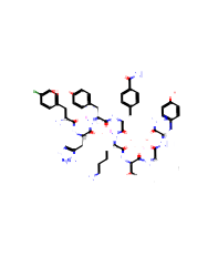 CC(O)C(NC(=O)[C@H](CCCCN)NC(=O)[C@@H](Cc1ccc(C(N)=O)cc1)NC(=O)[C@H](Cc1ccc(O)cc1)NC(=O)[C@@H](Cc1c[nH]nn1)NC(=O)[C@@H](N)Cc1ccc(Cl)cc1)C(=O)N[C@@H](C)C(=O)N[C@H](Cc1ccc(O)cc1)C(N)=O